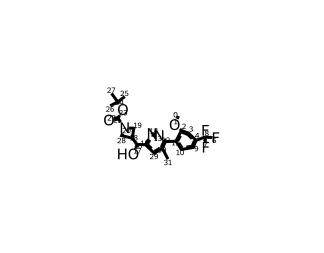 COc1cc(C(F)(F)F)ccc1-c1nnc(C(O)C2CN(C(=O)OC(C)(C)C)C2)cc1C